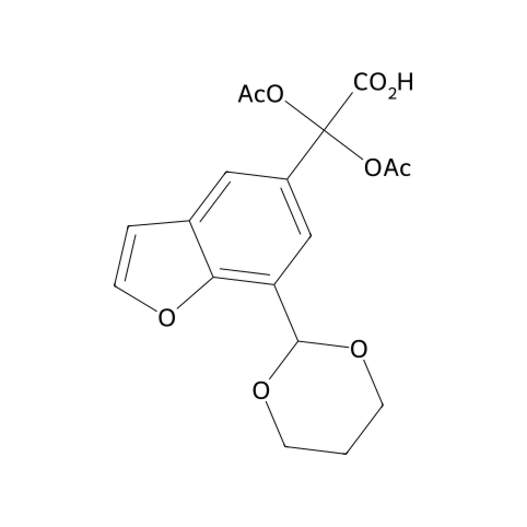 CC(=O)OC(OC(C)=O)(C(=O)O)c1cc(C2OCCCO2)c2occc2c1